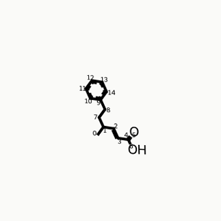 CC(C=CC(=O)O)CCc1ccccc1